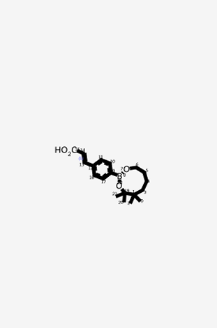 CC1(C)CCCCOB(c2ccc(/C=C/C(=O)O)cc2)OC1(C)C